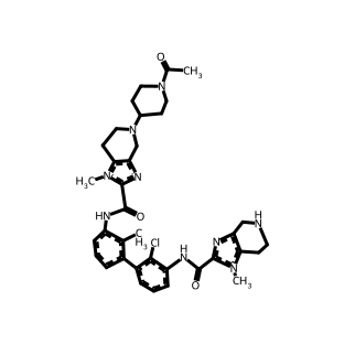 CC(=O)N1CCC(N2CCc3c(nc(C(=O)Nc4cccc(-c5cccc(NC(=O)c6nc7c(n6C)CCNC7)c5Cl)c4C)n3C)C2)CC1